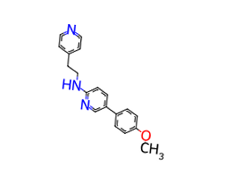 COc1ccc(-c2ccc(NCCc3ccncc3)nc2)cc1